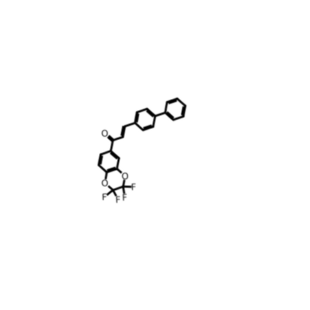 O=C(C=Cc1ccc(-c2ccccc2)cc1)c1ccc2c(c1)OC(F)(F)C(F)(F)O2